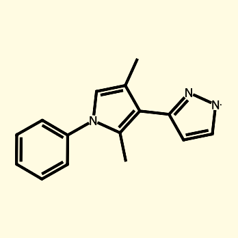 Cc1cn(-c2ccccc2)c(C)c1C1=N[N]C=C1